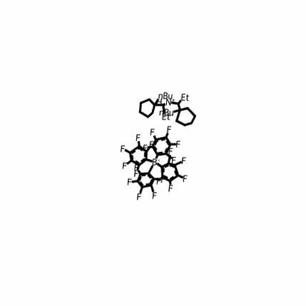 CCCCC1(C(CC)[NH2+]C(CC)C2(CCCC)CCCCC2)CCCCC1.Fc1c(F)c(F)c([B-](c2c(F)c(F)c(F)c(F)c2F)(c2c(F)c(F)c(F)c(F)c2F)c2c(F)c(F)c(F)c(F)c2F)c(F)c1F